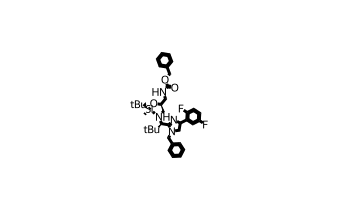 CC(C)(C)[C@@H](NC[C@H](CNC(=O)OCc1ccccc1)O[Si](C)(C)C(C)(C)C)C1=NC(c2cc(F)ccc2F)CN1Cc1ccccc1